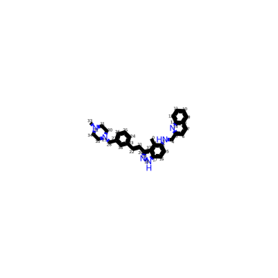 Cc1c(NCc2ccc3ccccc3n2)ccc2[nH]nc(C=Cc3cccc(CN4CCN(C)CC4)c3)c12